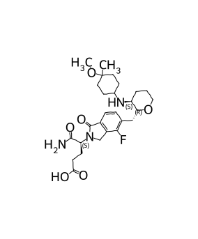 COC1(C)CCC(N[C@H]2CCCO[C@@H]2Cc2ccc3c(c2F)CN([C@@H](CCC(=O)O)C(N)=O)C3=O)CC1